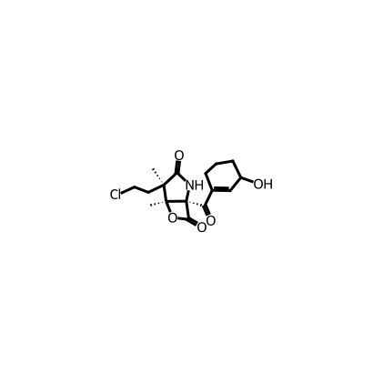 C[C@@]12OC(=O)[C@]1(C(=O)C1=CC(O)CCC1)NC(=O)[C@]2(C)CCCl